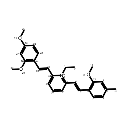 CC[n+]1c(/C=C/c2ccc(C)cc2OC)cccc1/C=C/c1ccc(OC)cc1OC